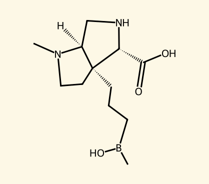 CB(O)CCC[C@]12CCN(C)[C@H]1CN[C@@H]2C(=O)O